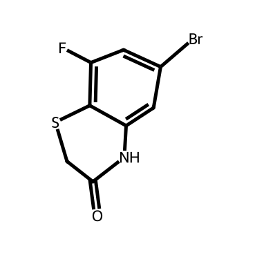 O=C1CSc2c(F)cc(Br)cc2N1